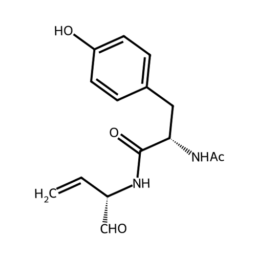 C=C[C@@H](C=O)NC(=O)[C@H](Cc1ccc(O)cc1)NC(C)=O